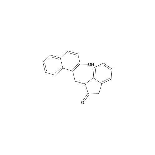 O=C1Cc2ccccc2N1Cc1c(O)ccc2ccccc12